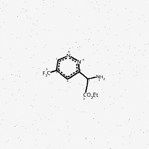 CCOC(=O)C(N)c1cc(C(F)(F)F)cnn1